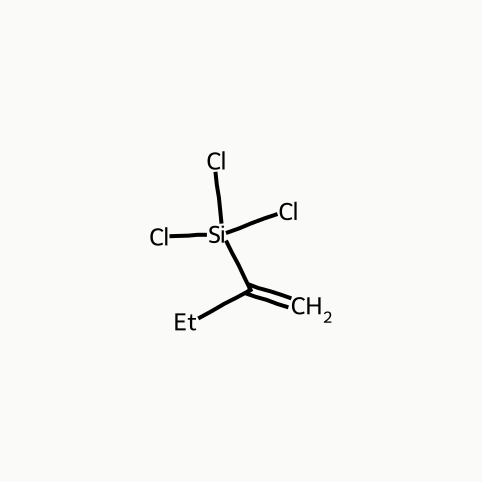 C=C(CC)[Si](Cl)(Cl)Cl